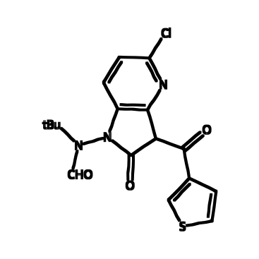 CC(C)(C)N(C=O)N1C(=O)C(C(=O)c2ccsc2)c2nc(Cl)ccc21